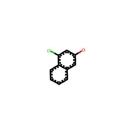 [O]c1cc(Cl)c2ccccc2c1